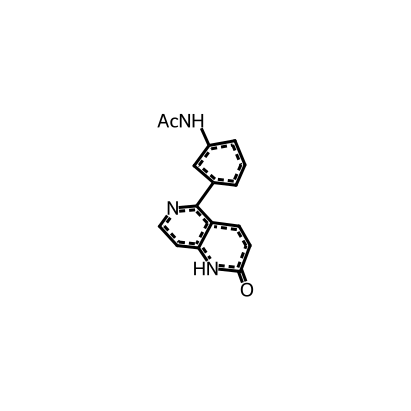 CC(=O)Nc1cccc(-c2nccc3[nH]c(=O)ccc23)c1